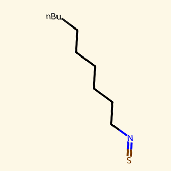 CCCCCCCCCCN=S